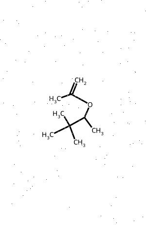 C=C(C)OC(C)C(C)(C)C